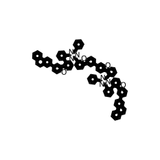 c1ccc(-c2nc(-c3ccccc3-c3cccc4oc5ccc(-c6ccc7c(c6)CCc6ccccc6-7)cc5c34)nc(-c3cccc4c3oc3ccc(-c5ccc6c(c5)oc5cccc(-c7nc(-c8ccccc8)nc(-c8ccccc8-c8cccc9oc%10ccc(-c%11ccc%12c(ccc%13ccccc%13%12)c%11)cc%10c89)n7)c56)cc34)n2)cc1